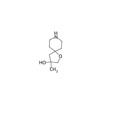 CC1(O)COC2(CCNCC2)C1